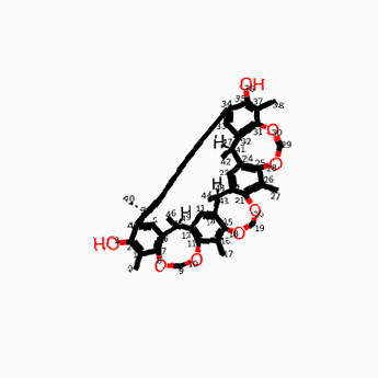 Cc1c(O)c2cc3c1OCOc1c(cc4c(c1C)OCOc1c(cc5c(c1C)OCOc1c(cc(c(O)c1C)[C@H]2C)[C@@H]5C)[C@@H]4C)[C@@H]3C